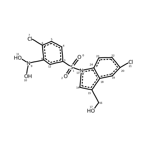 O=S(=O)(c1ccc(Cl)c(N(O)O)c1)n1cc(CO)c2cc(Cl)ccc21